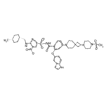 CS(=O)(=O)N1CCN(C2CC3(CCN(c4ccc(C(=O)NS(=O)(=O)c5cnc(NC[C@H]6CC[C@@H](C)CC6)c([N+](=O)[O-])c5)c(Oc5cnc6[nH]ccc6c5)c4)CC3)C2)CC1